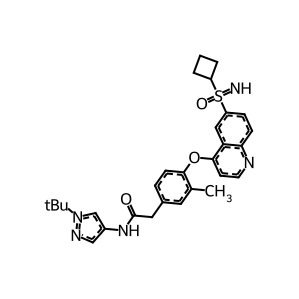 Cc1cc(CC(=O)Nc2cnn(C(C)(C)C)c2)ccc1Oc1ccnc2ccc(S(=N)(=O)C3CCC3)cc12